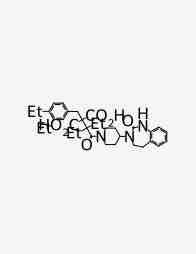 CCc1ccc(CC(C(=O)O)(C(=O)O)C(CC)(CC)C(=O)N2CCC(N3CCc4ccccc4NC3=O)CC2)cc1CC